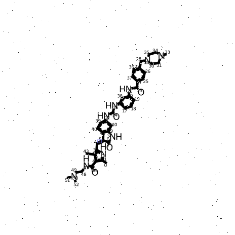 Cc1[nH]c(/C=C2\C(=O)Nc3cc(NC(=O)Nc4cccc(NC(=O)c5ccc(CN6CCN(C)CC6)cc5)c4)ccc32)c(C)c1C(=O)NCCN(C)C